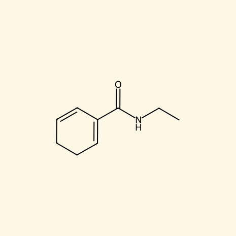 CCNC(=O)C1=CCCC=C1